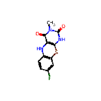 Cn1c(=O)[nH]c2c(c1=O)Nc1ccc(F)cc1S2